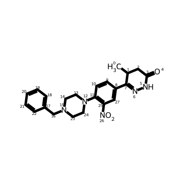 CC1CC(=O)NN=C1c1ccc(N2CCN(Cc3ccccc3)CC2)c([N+](=O)[O-])c1